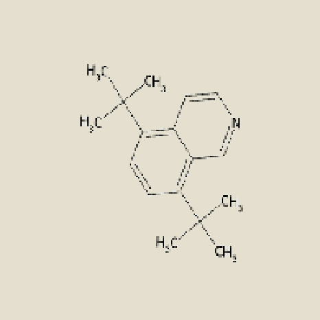 CC(C)(C)c1ccc(C(C)(C)C)c2cnccc12